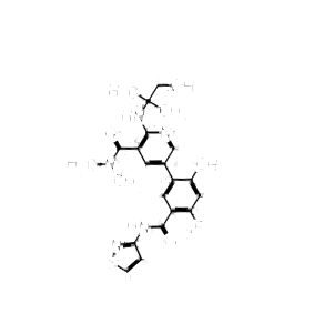 Cc1cc(F)c(C(=O)Nc2ccsn2)cc1-c1cnc(NC(C)(C)CO)c(C(=O)N(C)C)c1